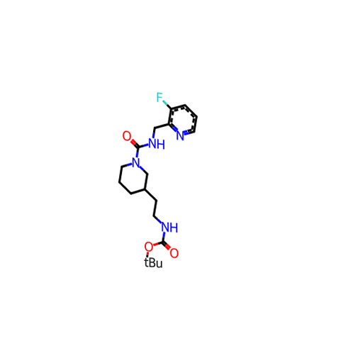 CC(C)(C)OC(=O)NCCC1CCCN(C(=O)NCc2ncccc2F)C1